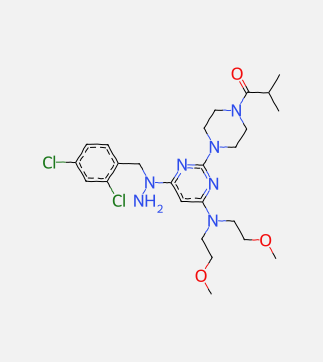 COCCN(CCOC)c1cc(N(N)Cc2ccc(Cl)cc2Cl)nc(N2CCN(C(=O)C(C)C)CC2)n1